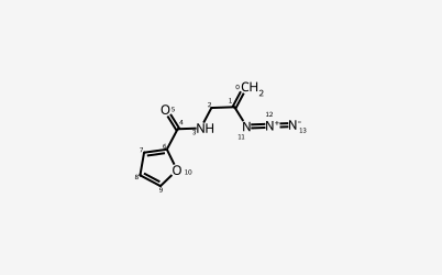 C=C(CNC(=O)c1ccco1)N=[N+]=[N-]